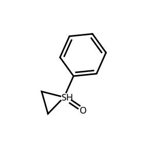 O=[SH]1(c2ccccc2)CC1